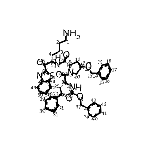 NCCCC[C@H](NC(=O)[C@@H]1C[C@@H](OCc2ccccc2)CN1C(=O)[C@@H](CCc1ccccc1)NC(=O)OCc1ccccc1)C(=O)c1nc2ccccc2s1